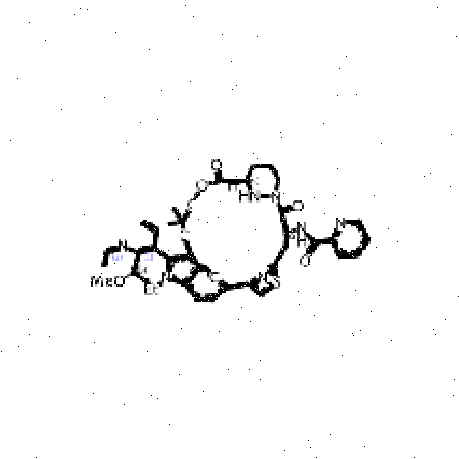 C=C/C(=C(\N=C/C)[C@H](C)OC)c1c2c3cc(ccc3n1CC)-c1csc(n1)C[C@H](NC(=O)c1ccccn1)C(=O)N1CCC[C@H](N1)C(=O)OCC(C)(C)C2